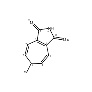 CC1C=CC2=C(C=C1)C(=O)NC2=O